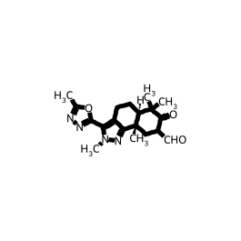 Cc1nnc(-c2c3c(nn2C)[C@@]2(C)CC(C=O)C(=O)C(C)(C)[C@@H]2CC3)o1